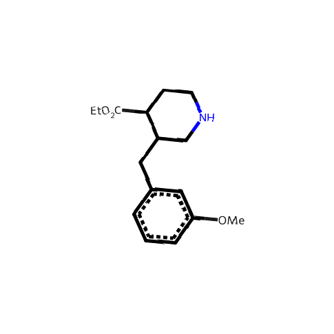 CCOC(=O)C1CCNCC1Cc1cccc(OC)c1